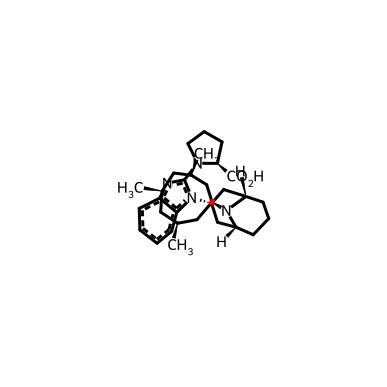 C[C@H]1C[C@@H](C)C[C@@H](N2[C@@H]3CCC[C@H]2C[C@@H](n2c(N4CCC[C@H]4C(=O)O)nc4ccccc42)C3)C[C@@H](C)C1